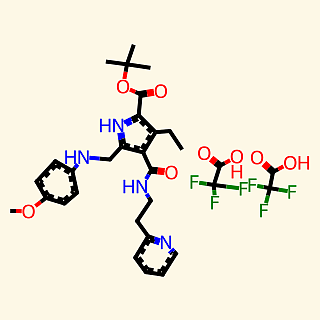 CCc1c(C(=O)OC(C)(C)C)[nH]c(CNc2ccc(OC)cc2)c1C(=O)NCCc1ccccn1.O=C(O)C(F)(F)F.O=C(O)C(F)(F)F